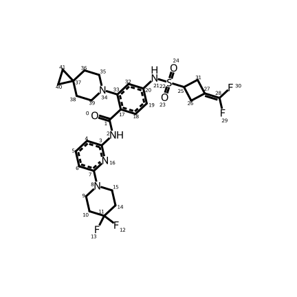 O=C(Nc1cccc(N2CCC(F)(F)CC2)n1)c1ccc(NS(=O)(=O)C2CC(=C(F)F)C2)cc1N1CCC2(CC1)CC2